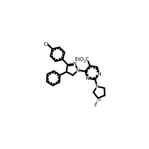 CCOC(=O)c1cnc(N2CC[C@H](F)C2)nc1N1CC(c2ccccc2)C(c2ccc(Cl)cc2)=N1